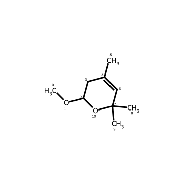 COC1CC(C)=CC(C)(C)O1